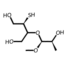 CO[C@@H](OC(CO)[C@H](S)CO)[C@H](C)O